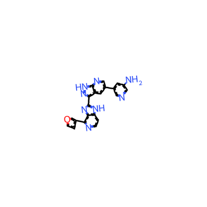 Nc1cncc(-c2cnc3[nH]nc(-c4nc5c(-c6ccoc6)nccc5[nH]4)c3c2)c1